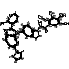 Nc1ncccc1-c1nc2ccc(-n3cccn3)nc2n1-c1ccc2c(c1)CC[C@@H]2NC(=O)c1cc(C=O)c(O)c(F)c1Cl